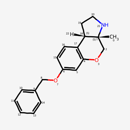 C[C@@]12COc3cc(OCc4ccccc4)ccc3[C@@H]1CCN2